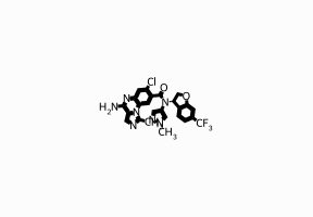 Cc1ncc2c(N)nc3cc(Cl)c(C(=O)N(c4cnn(C)c4)[C@@H]4COc5cc(C(F)(F)F)ccc54)cc3n12